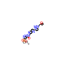 CS(=O)(=O)c1cncc(C(=O)NCc2cc3nc(-c4cccc(NCCC56CC(CO5)C6)n4)ccc3cn2)c1